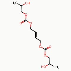 CC(O)COC(=O)OC/C=C/COC(=O)OCC(C)O